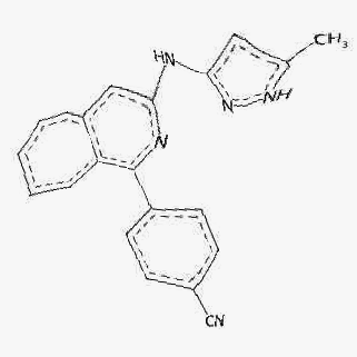 Cc1cc(Nc2cc3ccccc3c(-c3ccc(C#N)cc3)n2)n[nH]1